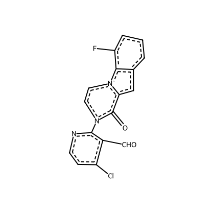 O=Cc1c(Cl)ccnc1-n1ccn2c(cc3cccc(F)c32)c1=O